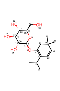 CC(C)C1=C(O[C@@H]2O[C@H](CO)[C@@H](O)[C@H](O)[C@H]2O)CC(C)(C)C=C1